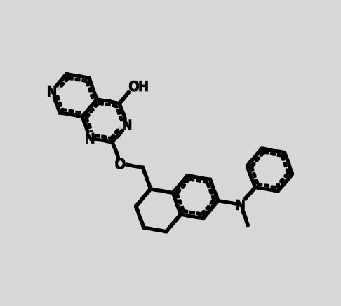 CN(c1ccccc1)c1ccc2c(c1)CCCC2COc1nc(O)c2ccncc2n1